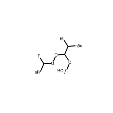 CCCCC(CC)C(OOC(F)CCC)OC(=O)O